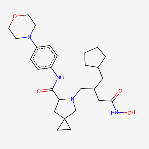 O=C(CC(CC1CCCC1)CN1CC2(CC2)CC1C(=O)Nc1ccc(N2CCOCC2)cc1)NO